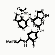 CNCCNc1ccc(Nc2nc(Nc3cccc4c3N(S(C)(=O)=O)CC4)c3cc[nH]c3n2)cc1F